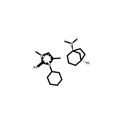 Cc1cn(C)[c](=[Pt])n1C1CCCCC1.IN(I)[C@@]12CCC[C@H](CC1)C2